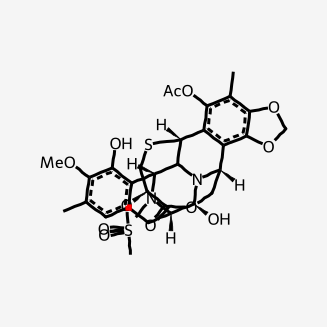 COc1c(C)cc2c(c1O)[C@@H]1C3[C@@H]4SC[C@H](OS(C)(=O)=O)C(=O)OC[C@@H](c5c6c(c(C)c(OC(C)=O)c54)OCO6)N3[C@@H](O)[C@H](C2)N1C